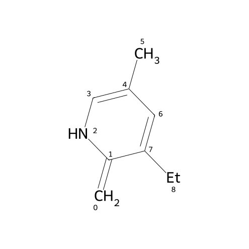 C=C1NC=C(C)C=C1CC